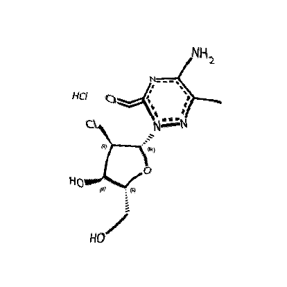 Cc1nn([C@@H]2O[C@H](CO)[C@@H](O)[C@H]2Cl)c(=O)nc1N.Cl